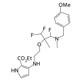 CCOC(=O)c1[nH]ccc1NCCOC(C)(C(F)F)C(F)N(C)Cc1ccc(OC)cc1